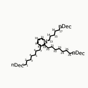 CCCCCCCCCCCCCCCCCc1ccc[n+](CCCCCCCCCCCCCCC)c1CCCCCCCCCCCCCCCCC